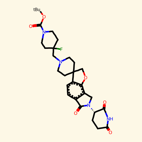 CC(C)(C)OC(=O)N1CCC(F)(CN2CCC3(CC2)COc2c3ccc3c2CN([C@H]2CCC(=O)NC2=O)C3=O)CC1